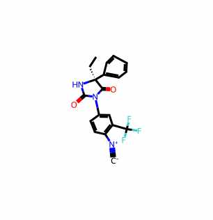 [C-]#[N+]c1ccc(N2C(=O)N[C@@](CC)(c3ccccc3)C2=O)cc1C(F)(F)F